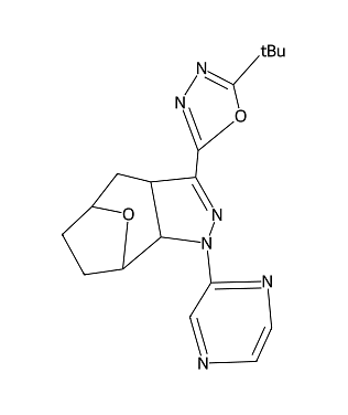 CC(C)(C)c1nnc(C2=NN(c3cnccn3)C3C4CCC(CC23)O4)o1